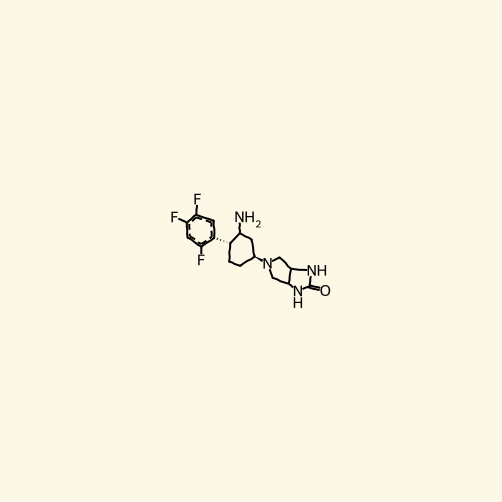 NC1C[C@@H](N2CC3NC(=O)NC3C2)CC[C@@H]1c1cc(F)c(F)cc1F